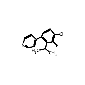 CC(C)c1c(-c2ccncc2)ccc(Cl)c1F